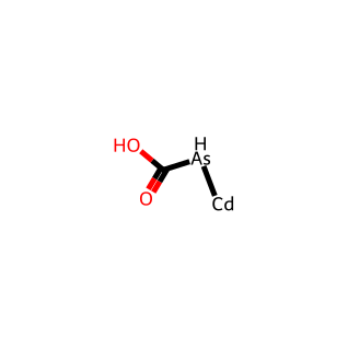 O=C(O)[AsH][Cd]